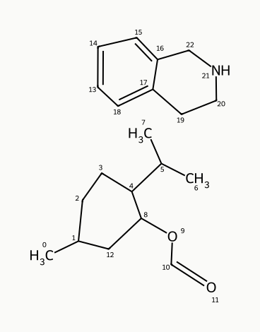 CC1CCC(C(C)C)C(OC=O)C1.c1ccc2c(c1)CCNC2